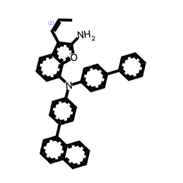 C/C=C\c1c(N)oc2c(N(c3ccc(-c4ccccc4)cc3)c3ccc(-c4cccc5ccccc45)cc3)cccc12